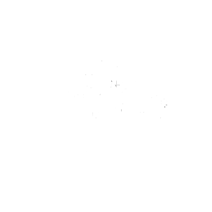 CCCOC(=O)C(C(=O)OCCC)N(CC)C1=C=C=C(OC)C=C1